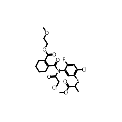 COCCOC(=O)C1=C(C(=O)N(C(=O)CCl)c2cc(SC(C)C(=O)OC)c(Cl)cc2F)CCCC1